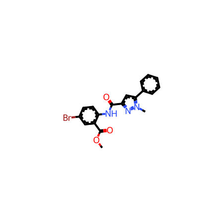 COC(=O)c1cc(Br)ccc1NC(=O)c1cc(-c2ccccc2)n(C)n1